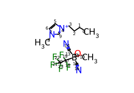 CCCC[n+]1ccn(C)c1.CO[B-](C#N)(C#N)C(F)(F)C(F)(F)F